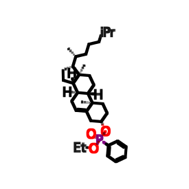 CCOP(=O)(O[C@H]1CC[C@@]2(C)C(=CC[C@H]3[C@@H]4CC[C@H]([C@H](C)CCCC(C)C)[C@@]4(C)CC[C@@H]32)C1)c1ccccc1